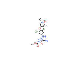 CCOC(=O)NC(=O)/C(C#N)=N/Nc1cc(Cl)c(Oc2cc(C)c(=O)n(C3CC3)c2)c(Cl)c1